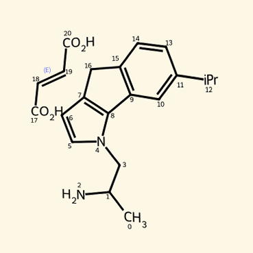 CC(N)Cn1ccc2c1-c1cc(C(C)C)ccc1C2.O=C(O)/C=C/C(=O)O